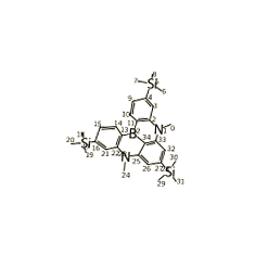 CN1c2cc([Si](C)(C)C)ccc2B2c3ccc([Si](C)(C)C)cc3N(C)c3cc([Si](C)(C)C)cc1c32